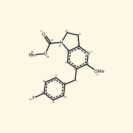 COc1nc2c(cc1Cc1ccc(F)cc1)N(C(=O)OC(C)(C)C)CC2